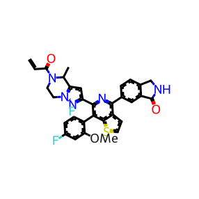 C=CC(=O)N1CCn2nc(-c3nc(-c4ccc5c(c4)C(=O)NC5)c4ccsc4c3-c3c(F)cc(F)cc3OC)cc2C1C